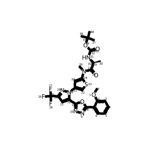 COc1ccccc1-c1nnc(-c2cc(C(F)(F)F)nn2-c2csc(N(C)C(=O)[C@H](C)NC(=O)OC(C)(C)C)c2)o1